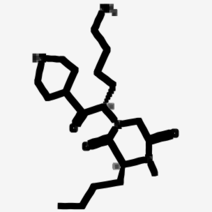 CCCC[C@H]1C(=O)N([C@@H](CCCCN)C(=O)C2CCNCC2)CC(=O)N1C